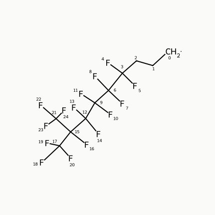 [CH2]CCC(F)(F)C(F)(F)C(F)(F)C(F)(F)C(F)(C(F)(F)F)C(F)(F)F